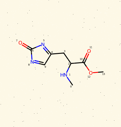 CNC(CC1=NC(=O)N=C1)C(=O)OC